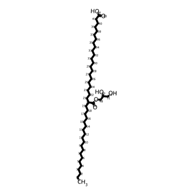 CCCCCCCCCCCCCCCCCCCCC(CCCCCCCCCCCCCCCCCCCCCC(=O)O)C(=O)OCC(O)CO